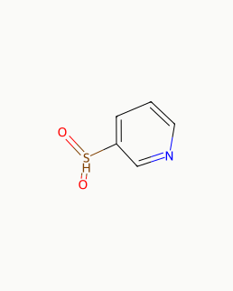 O=[SH](=O)c1cccnc1